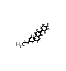 CCCc1ccc2c(c1)CCc1cc(-c3ccc(F)cc3)ccc1-2